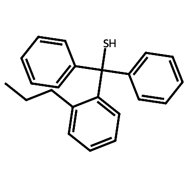 CCCc1ccccc1C(S)(c1ccccc1)c1ccccc1